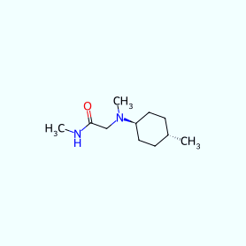 CNC(=O)CN(C)[C@H]1CC[C@H](C)CC1